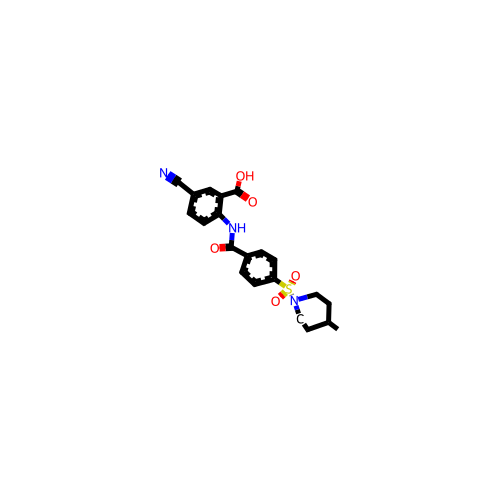 CC1CCN(S(=O)(=O)c2ccc(C(=O)Nc3ccc(C#N)cc3C(=O)O)cc2)CC1